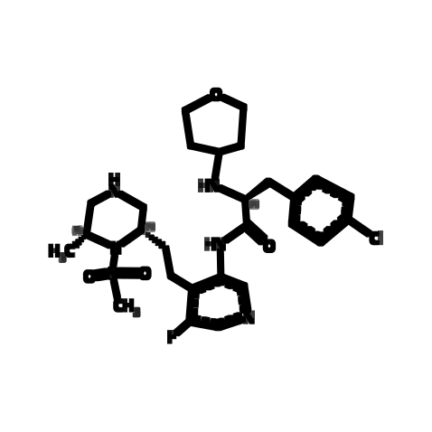 C[C@@H]1CNC[C@H](CCc2c(F)cncc2NC(=O)[C@H](Cc2ccc(Cl)cc2)NC2CCOCC2)N1S(C)(=O)=O